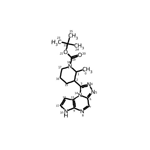 CC1C(c2nnc3cnc4[nH]ccc4n23)CCCN1C(=O)OC(C)(C)C